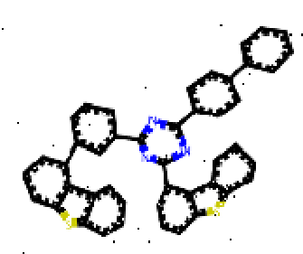 c1ccc(-c2ccc(-c3nc(-c4cccc(-c5cccc6sc7ccccc7c56)c4)nc(-c4cccc5sc6ccccc6c45)n3)cc2)cc1